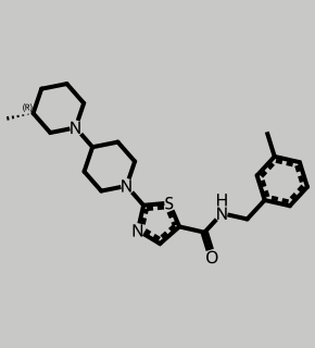 Cc1cccc(CNC(=O)c2cnc(N3CCC(N4CCC[C@@H](C)C4)CC3)s2)c1